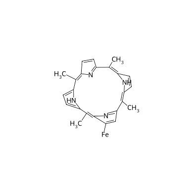 Cc1c2nc(c(C)c3ccc([nH]3)c(C)c3nc(c(C)c4ccc1[nH]4)C=[C]3[Fe])C=C2